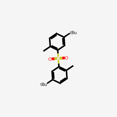 Cc1c[c]c(C(C)(C)C)cc1S(=O)(=O)c1cc(C(C)(C)C)[c]cc1C